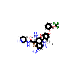 Cc1cc(Oc2ccccc2OC(F)(F)F)ccc1C1(N)C(=O)C(N)c2c(C(=O)NC3CCCNC3)sc3c(N)ccc1c23